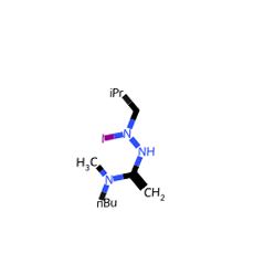 C=C(NN(I)CC(C)C)N(C)CCCC